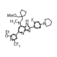 CCOc1cc(-c2cc(N(C)CC3(COC)CCCC3)c3[nH]c(-c4ccc(N5CCCCC5)cc4F)nc3n2)cc(C(F)(F)F)n1